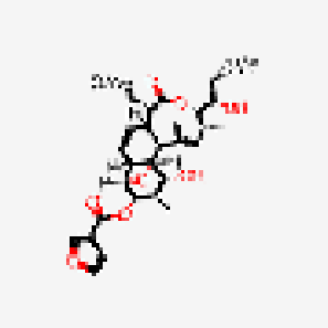 COC[C@@H](O)[C@H]1OC(=O)[C@H](COC)[C@H]2C=C[C@H]3[C@H]4O[C@]2(/C(C)=C/[C@H]1C)[C@@H]3[C@H](O)[C@@H](C)[C@H]4OC(=O)c1ccoc1